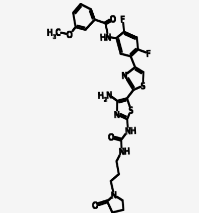 COc1cccc(C(=O)Nc2cc(-c3csc(-c4sc(NC(=O)NCCCN5CCCC5=O)nc4N)n3)c(F)cc2F)c1